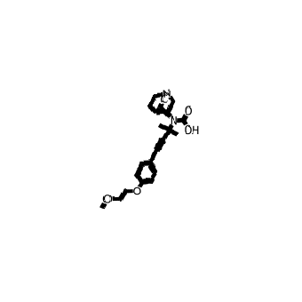 COCCOc1ccc(C#CC(C)(C)N(C(=O)O)C2CN3CCC2CC3)cc1